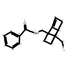 O=C(NCC12CC3C4C=C1C4C32CF)c1ccccc1